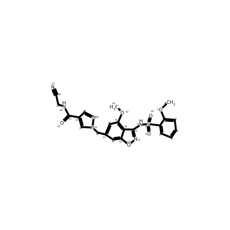 COc1ccccc1S(=O)(=O)Nc1noc2cc(Cn3cc(C(=O)NCC#N)cn3)cc(OC)c12